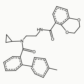 Cc1ccc(-c2ccccc2C(=O)N(CCNC(=O)c2cccc3c2OCCO3)C2CC2)cc1